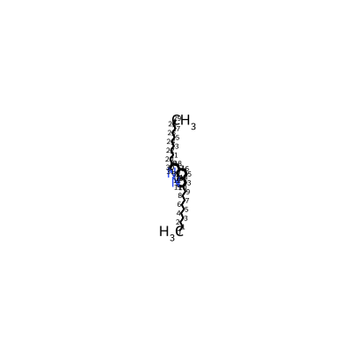 CCCCCCCCCCc1cnc2c(ccc3cc(CCCCCCCCCC)cnc32)c1